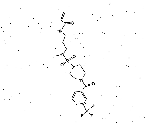 C=CC(=O)NCCCN(C)S(=O)(=O)C1CCN(C(=O)c2cccc(C(F)(F)F)c2)CC1